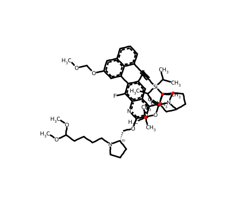 COCOc1cc(-c2c(F)cc3c(N4CC5CCC(C4)N5C(=O)OC(C)(C)C)nc(OC[C@@H]4CCCN4CCCCC(OC)OC)nc3c2F)c2c(C#C[Si](C(C)C)(C(C)C)C(C)C)cccc2c1